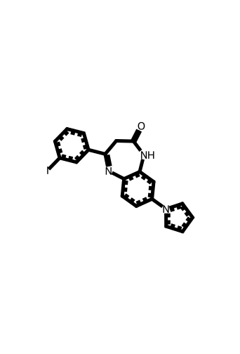 O=C1CC(c2cccc(I)c2)=Nc2ccc(-n3cccc3)cc2N1